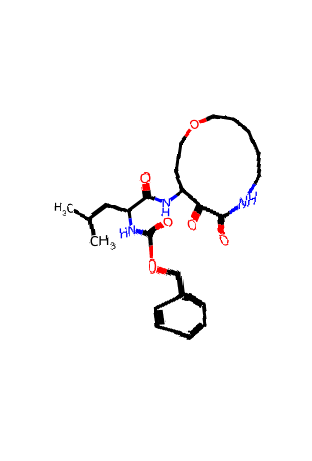 CC(C)CC(NC(=O)OCc1ccccc1)C(=O)NC1CCOCCCCCNC(=O)C1=O